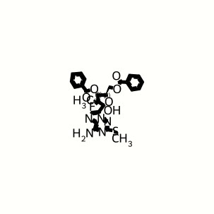 CSc1nc(N)c2ncc(C3(O)O[C@H](COC(=O)c4ccccc4)[C@@H](OC(=O)c4ccccc4)[C@@]3(C)F)n2n1